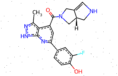 Cc1n[nH]c2nc(-c3ccc(O)c(F)c3)cc(C(=O)N3CC4=CNC[C@@H]4C3)c12